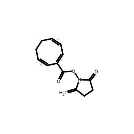 C=C1CCC(=O)N1OC(=O)C1=C/C=C\CC/C=C\1